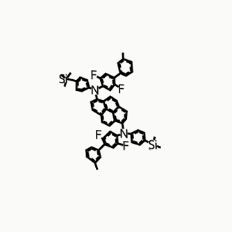 Cc1cccc(-c2cc(F)c(N(c3ccc([Si](C)(C)C)cc3)c3ccc4ccc5c(N(c6ccc([Si](C)(C)C)cc6)c6cc(F)c(-c7cccc(C)c7)cc6F)ccc6ccc3c4c65)cc2F)c1